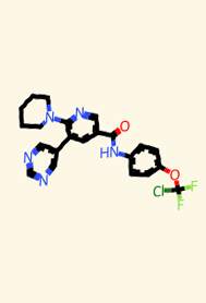 O=C(Nc1ccc(OC(F)(F)Cl)cc1)c1cnc(N2CCCCC2)c(-c2cncnc2)c1